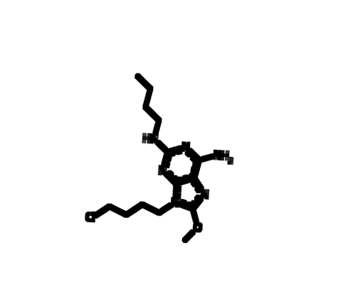 CCCCNc1nc(N)c2nc(OC)n(CCCCCl)c2n1